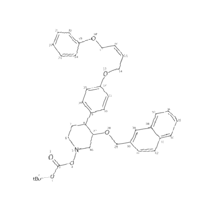 CC(C)(C)OC(=O)ON1CCC(c2ccc(OC/C=C\COc3ccccc3)cc2)C(OCc2ccc3ccccc3c2)C1